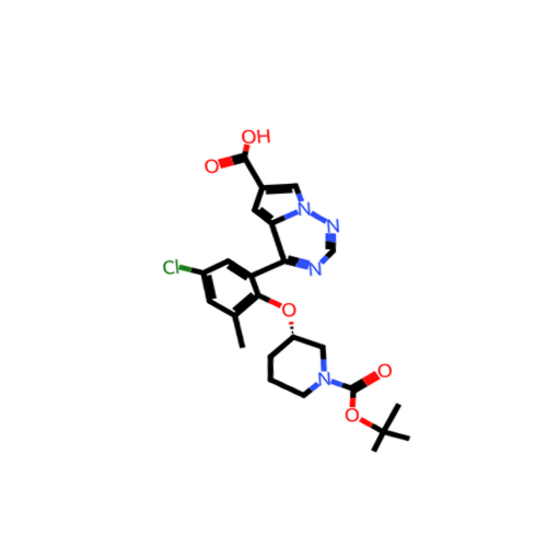 Cc1cc(Cl)cc(-c2ncnn3cc(C(=O)O)cc23)c1O[C@H]1CCCN(C(=O)OC(C)(C)C)C1